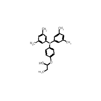 CCC(O)Oc1ccc(N(c2cc(C)cc(C)c2)c2cc(C)cc(C)c2)cc1